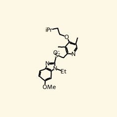 CCn1c([S+]([O-])Cc2ncc(C)c(OCCC(C)C)c2C)nc2ccc(OC)cc21